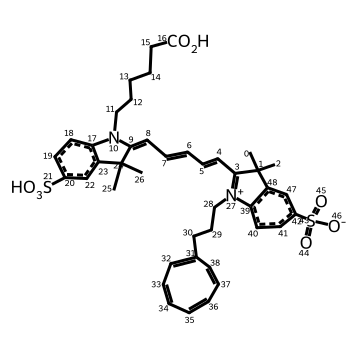 CC1(C)C(/C=C/C=C/C=C2/N(CCCCCC(=O)O)c3ccc(S(=O)(=O)O)cc3C2(C)C)=[N+](CCCC2=C/C=C\C=C/C=C\2)c2ccc(S(=O)(=O)[O-])cc21